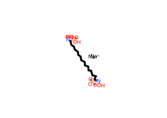 O=P([O-])([O-])C(CCCCCCCCCCCCCCC(=NO)P(=O)(O)O)=NO.[Na+].[Na+]